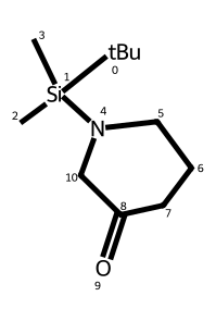 CC(C)(C)[Si](C)(C)N1CCCC(=O)C1